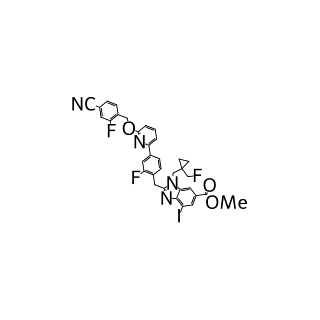 COC(=O)c1cc(I)c2nc(Cc3ccc(-c4cccc(OCc5ccc(C#N)cc5F)n4)cc3F)n(CC3(CF)CC3)c2c1